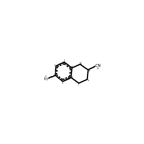 CCc1ccc2c(c1)CCC(C#N)C2